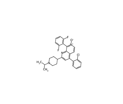 CC(C)N1CCC(c2cc(-c3ccccc3Cl)c3cc[n+]([O-])c(-c4c(F)cccc4F)c3n2)CC1